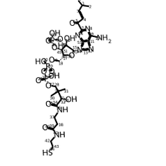 CC(C)C=CC(=O)c1nc(N)c2ncn([C@@H]3O[C@H](COP(=O)(O)OP(=O)(O)OCC(C)(C)[C@@H](O)C(=O)NCCC(=O)NCCS)[C@@H](OP(=O)(O)O)[C@H]3O)c2n1